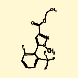 CCOC(=O)c1cc(-c2c(F)cccc2C(F)(F)F)n(C)n1